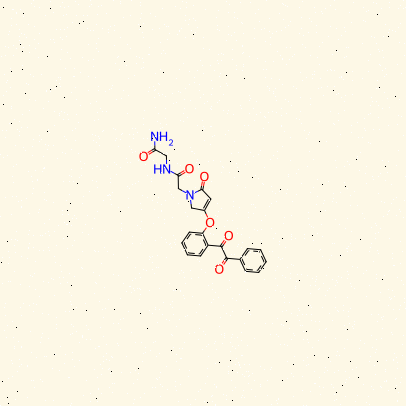 NC(=O)CNC(=O)CN1CC(Oc2ccccc2C(=O)C(=O)c2ccccc2)=CC1=O